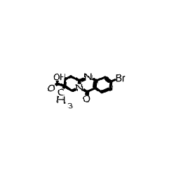 CC1(C(=O)O)CCc2nc3cc(Br)ccc3c(=O)n2C1